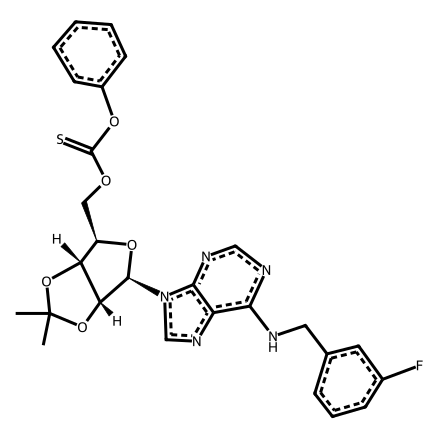 CC1(C)O[C@@H]2[C@H](O1)[C@@H](COC(=S)Oc1ccccc1)O[C@H]2n1cnc2c(NCc3cccc(F)c3)ncnc21